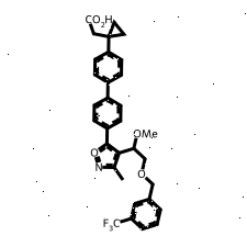 COC(COCc1cccc(C(F)(F)F)c1)c1c(C)noc1-c1ccc(-c2ccc(C3(CC(=O)O)CC3)cc2)cc1